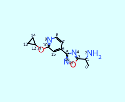 CC(N)c1nc(-c2ccnc(OC3CC3)c2)no1